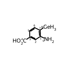 Nc1cc(C(=O)O)cc[c]1[GeH3]